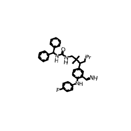 CC(C)CC(c1ccc(Nc2ccc(F)cc2)c(C=N)c1)C(C)(C)CNC(=O)NC(c1ccccc1)c1ccccc1